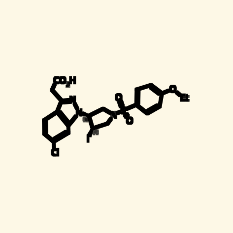 CCOc1ccc(S(=O)(=O)N2C[C@@H](I)[C@@H](n3nc(CC(=O)O)c4ccc(Cl)cc43)C2)cc1